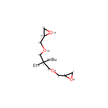 CCCCC(CC)(COCC1CO1)COCC1CO1